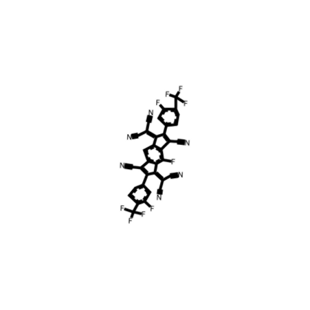 N#CC(C#N)=C1C(c2ccc(C(F)(F)F)c(F)c2)=C(C#N)c2c1cc1c(c2F)C(=C(C#N)C#N)C(c2ccc(C(F)(F)F)c(F)c2)=C1C#N